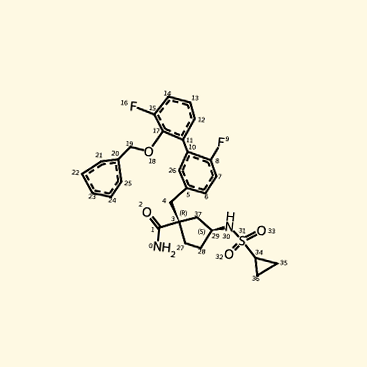 NC(=O)[C@@]1(Cc2ccc(F)c(-c3cccc(F)c3OCc3ccccc3)c2)CC[C@H](NS(=O)(=O)C2CC2)C1